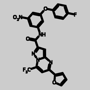 O=C(Nc1cc(Oc2ccc(F)cc2)cc([N+](=O)[O-])c1)c1cc2nc(-c3ccco3)cc(C(F)(F)F)n2n1